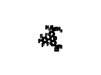 CCN(CC)c1ccc2c(-c3c(F)c(F)c(F)c(F)c3F)c3ccc(=[N+](C)C)cc-3oc2c1